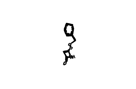 O=C1CC(OOCc2ccccc2)N1